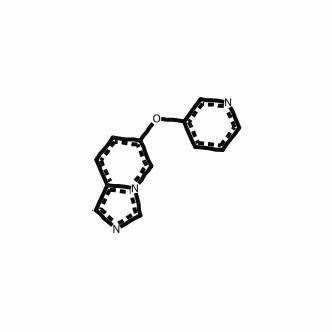 [c]1ncn2cc(Oc3cccnc3)ccc12